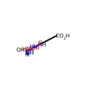 O=CC(Cc1cnc[nH]1)NC(O)COCCOCCNC(=O)CCCNC(=O)CCCCCCCCCCCCCCCCCCC(=O)O